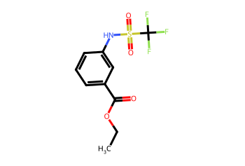 CCOC(=O)c1cccc(NS(=O)(=O)C(F)(F)F)c1